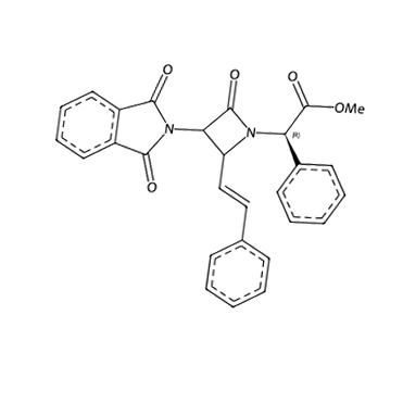 COC(=O)[C@@H](c1ccccc1)N1C(=O)C(N2C(=O)c3ccccc3C2=O)C1C=Cc1ccccc1